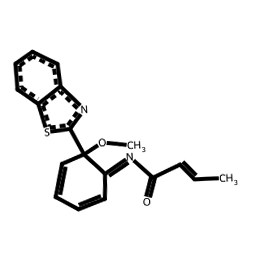 C/C=C/C(=O)N=C1C=CC=CC1(OC)c1nc2ccccc2s1